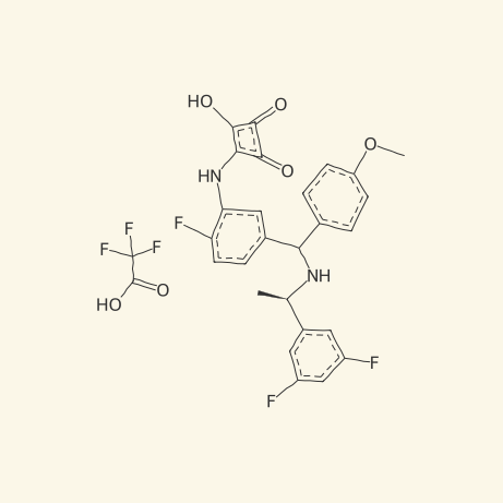 COc1ccc(C(N[C@H](C)c2cc(F)cc(F)c2)c2ccc(F)c(Nc3c(O)c(=O)c3=O)c2)cc1.O=C(O)C(F)(F)F